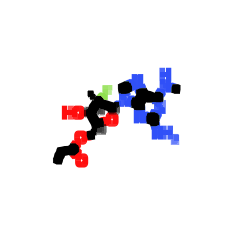 CCC(=O)OC[C@H]1O[C@@H](n2cnc3c(NC)nc(N)nc32)[C@](C)(F)[C@@H]1O